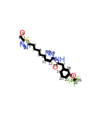 O=Cc1nnc(CCCCc2ccc(NC(=O)Cc3cccc(OC(F)(F)F)c3)nn2)s1